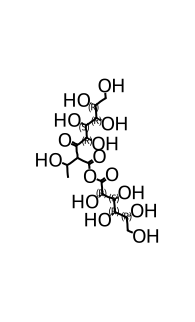 CC(O)C(C(=O)OC(=O)[C@H](O)[C@@H](O)[C@H](O)[C@H](O)CO)C(=O)[C@H](O)[C@@H](O)[C@H](O)[C@H](O)CO